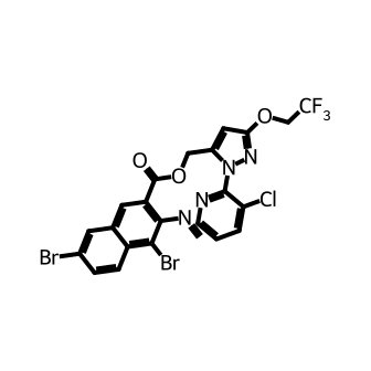 C=Nc1c(C(=O)OCc2cc(OCC(F)(F)F)nn2-c2ncccc2Cl)cc2cc(Br)ccc2c1Br